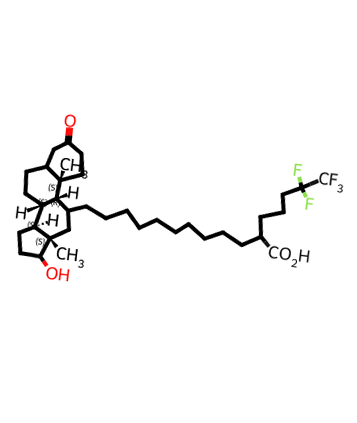 C[C@]12CCC(=O)CC1CC[C@@H]1[C@H]2C(CCCCCCCCCCC(CCCC(F)(F)C(F)(F)F)C(=O)O)C[C@]2(C)C(O)CC[C@@H]12